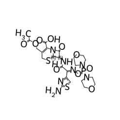 CC(=O)OCC1=C(C(=O)O)N2C(=O)[C@H](NC(=O)C(=NOP(=O)(N3CCOCC3)N3CCOCC3)c3csc(N)n3)[C@H]2SC1